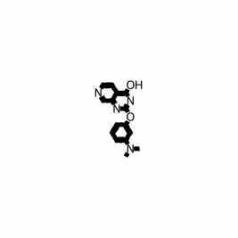 CN(C)c1cccc(Oc2nc(O)c3ccncc3n2)c1